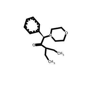 CCC(CC)C(=O)[C@@H](c1ccccc1)N1CCOCC1